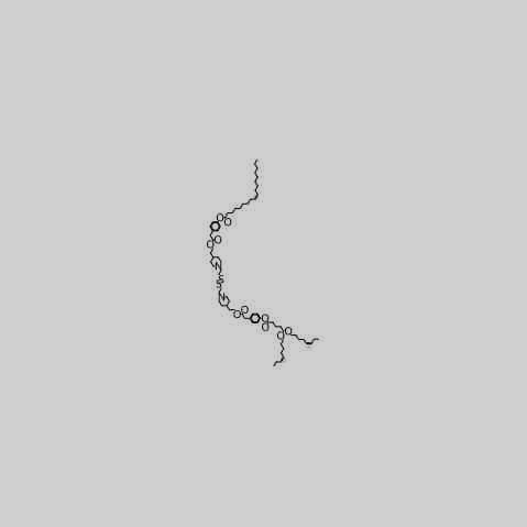 CC/C=C\CCCCOC(CCCC(=O)Oc1ccc(CC(=O)OCCC2CCN(CCSSCCN3CCC(CCOC(=O)Cc4ccc(OC(=O)CCCCCCC/C=C\CCCCCCCC)cc4)CC3)CC2)cc1)OCCCC/C=C\CC